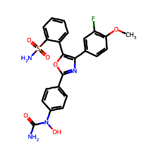 COc1ccc(-c2nc(-c3ccc(N(O)C(N)=O)cc3)oc2-c2ccccc2S(N)(=O)=O)cc1F